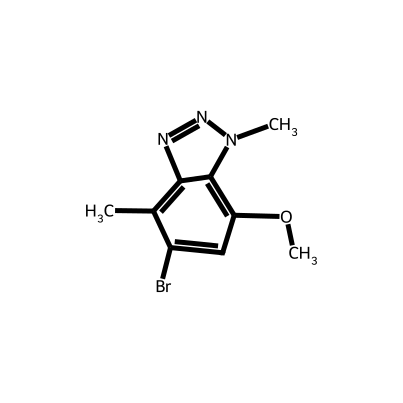 COc1cc(Br)c(C)c2nnn(C)c12